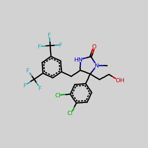 CN1C(=O)NC(Cc2cc(C(F)(F)F)cc(C(F)(F)F)c2)C1(CCO)c1ccc(Cl)c(Cl)c1